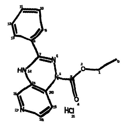 CCOC(=O)N1N=C(c2ccccc2)Nc2cnccc21.Cl